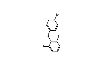 Fc1cccc(F)c1Oc1ccc(Br)cc1